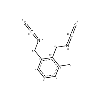 Cc1cccc(CN=C=S)c1CN=C=S